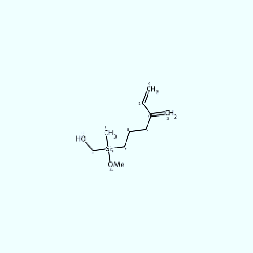 C=CC(=C)CCC[Si](C)(CO)OC